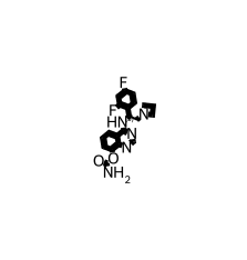 NC(=O)Oc1cccc2c(N[C@H](CN3CCC3)c3ccc(F)cc3F)ncnc12